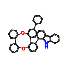 c1ccc(-c2ccc3c(c2)Oc2ccccc2-c2ccccc2Oc2cccc(-c4cccc5c4[nH]c4ccccc45)c2-3)cc1